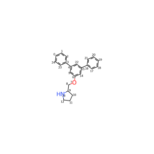 c1ccc(-c2cc(OCC3CCCN3)cc(-c3ccccc3)c2)cc1